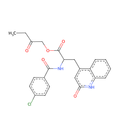 CCC(=O)COC(=O)C(Cc1cc(=O)[nH]c2ccccc12)NC(=O)c1ccc(Cl)cc1